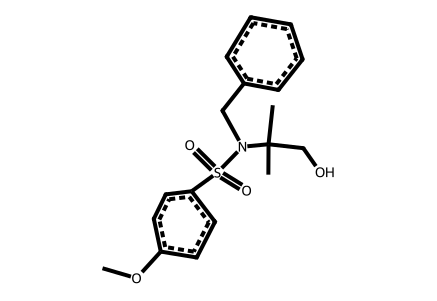 COc1ccc(S(=O)(=O)N(Cc2ccccc2)C(C)(C)CO)cc1